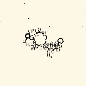 CC[C@H](NC(=O)C1(C(F)(F)F)CCCCC1)C(=O)N[C@@H](C)C(=O)N[C@H]1CCCCNC(=O)[C@@H](CC)NC(=O)[C@H](Cc2cc(Cl)ccc2Cl)N(C)C(=O)[C@H](CC(C)C)NC1=O